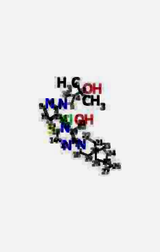 CC(C)(O)C1CN(c2nccc(Sc3cnc(N4CCC5(CC4)CCC4(CC4)C5)c(CO)n3)c2Cl)C1